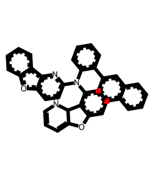 C1=CNC2C(=C1)Oc1cccc(N(c3ccc4oc5ccccc5c4n3)c3ccccc3-c3ccc4ccccc4c3)c12